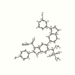 CNC(=O)c1c(-c2ccc(F)cc2)oc2cc(N(C)S(C)(=O)=O)c(-c3ccc4ncn(-c5cncc(F)c5)c4c3)cc12